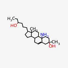 CCC(O)CCCC1CCC2C3CC=C4C[C@@](C)(O)CCC4(N)C3CCC12C